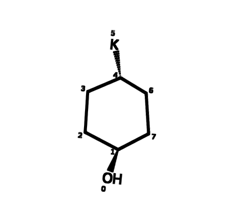 O[C@H]1CC[C@H]([K])CC1